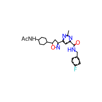 CC(=O)NC1CCC(C2CC(c3cc(C(=O)NCc4ccc(F)cc4)nc(C)n3)=NO2)CC1